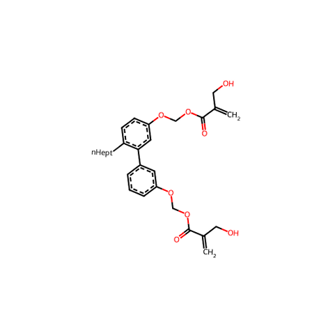 C=C(CO)C(=O)OCOc1cccc(-c2cc(OCOC(=O)C(=C)CO)ccc2CCCCCCC)c1